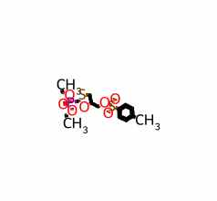 CCOP(=O)(OCC)C1OC(COS(=O)(=O)c2ccc(C)cc2)CS1